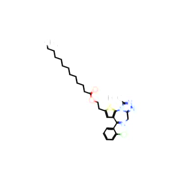 CCCCCCCCCCCCC(=O)OCCc1cc2c(s1)-n1c(C)nnc1CN=C2c1ccccc1Cl